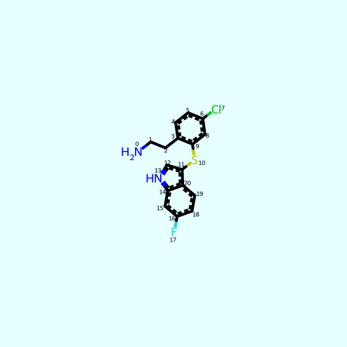 NCCc1ccc(Cl)cc1Sc1c[nH]c2cc(F)ccc12